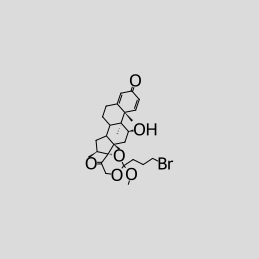 COC1(CCCBr)OCC(=O)[C@@]2(O1)[C@@H](C)CC1C3CCC4=CC(=O)C=C[C@]4(C)[C@@]3(C)[C@@H](O)C[C@@]12C